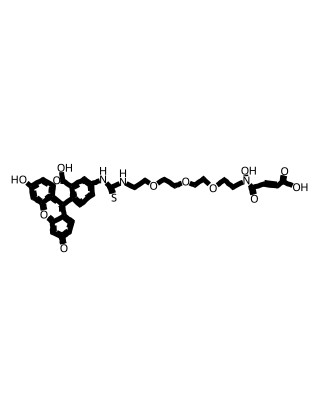 O=C(O)/C=C/C(=O)N(O)CCOCCOCCOCCNC(=S)Nc1ccc(-c2c3ccc(=O)cc-3oc3cc(O)ccc23)c(C(=O)O)c1